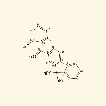 CCCC1(CCC)c2ccccc2-c2ccc(C(=O)c3ccccc3F)cc21